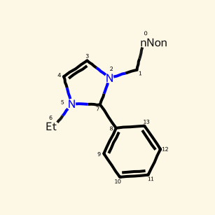 CCCCCCCCCCN1C=CN(CC)C1c1ccccc1